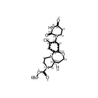 CC(C)(C)OC(=O)N1CCN2c3cc(Cl)c(N4CCC(=O)NC4=O)cc3OCC[C@H]2C1